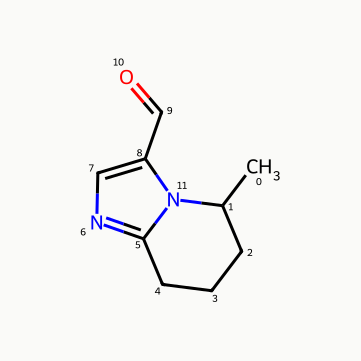 CC1CCCc2ncc(C=O)n21